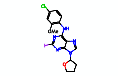 COc1cc(Cl)ccc1Nc1nc(I)nc2c1ncn2C1CCCO1